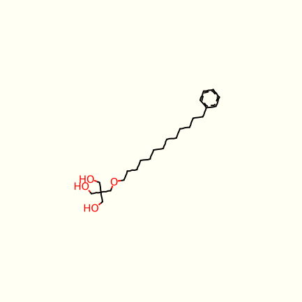 OCC(CO)(CO)COCCCCCCCCCCCCCc1ccccc1